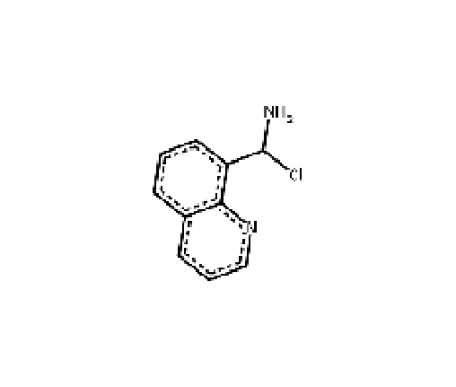 NC(Cl)c1cccc2cccnc12